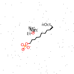 CCCCCCCC/C=C\CCCCCCCCOP(=O)([O-])[O-].CCOCC.[Na+].[Na+]